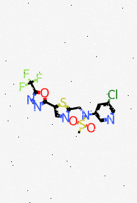 CS(=O)(=O)N(Cc1ncc(-c2nnc(C(F)(F)F)o2)s1)c1cncc(Cl)c1